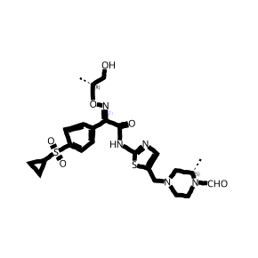 C[C@H](CO)O/N=C(/C(=O)Nc1ncc(CN2CCN(C=O)[C@@H](C)C2)s1)c1ccc(S(=O)(=O)C2CC2)cc1